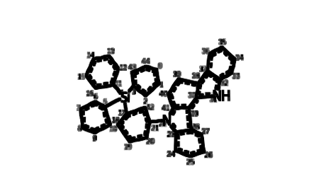 c1ccc([Si](c2ccccc2)(c2ccccc2)c2cccc(-n3c4ccccc4c4c5[nH]c6ccccc6c5ccc43)c2)cc1